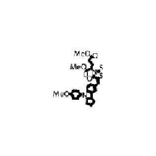 COC(=O)CCC(C(=O)OC)N1C(=O)/C(=C\c2ccc3c(c2)C2CCCC2N3c2ccc(OC)cc2)SC1=S